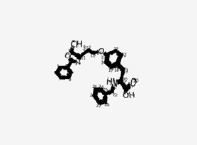 Cc1oc(-c2ccccc2)nc1CCOc1ccc(CC(NCc2ccccc2)C(=O)O)cc1